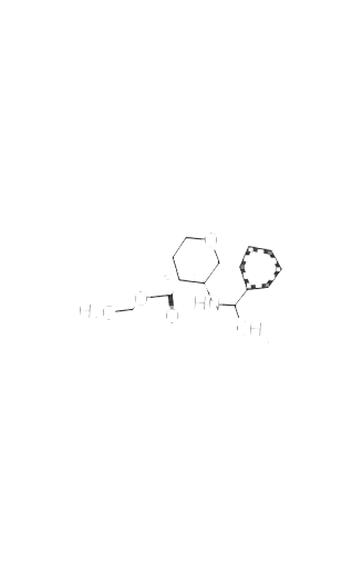 CCOC(=O)[C@@H]1CCOC[C@H]1NC(C)c1ccccc1